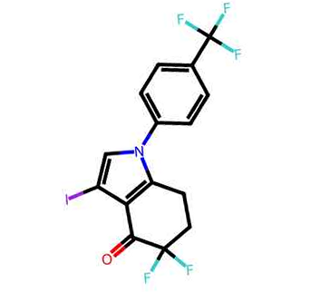 O=C1c2c(I)cn(-c3ccc(C(F)(F)F)cc3)c2CCC1(F)F